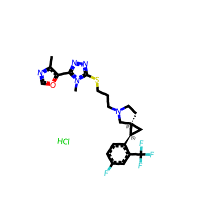 Cc1ncoc1-c1nnc(SCCCN2CC[C@@]3(C[C@H]3c3ccc(F)cc3C(F)(F)F)C2)n1C.Cl